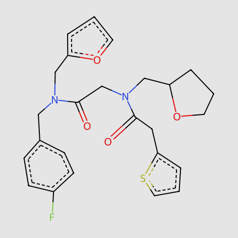 O=C(CN(CC1CCCO1)C(=O)Cc1cccs1)N(Cc1ccc(F)cc1)Cc1ccco1